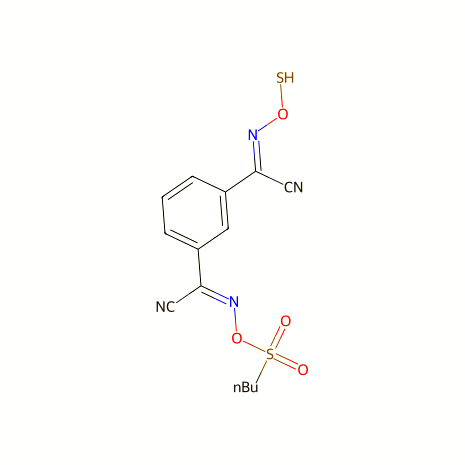 CCCCS(=O)(=O)ON=C(C#N)c1cccc(C(C#N)=NOS)c1